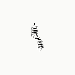 FC(F)(F)C(F)(F)C(F)(F)C(F)(F)OC(F)(F)C(F)(F)OC(F)(F)C(F)(F)C(F)(F)C(F)(F)C(F)(F)I